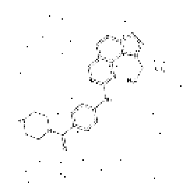 CC(C)n1nnc2ccc3cnc(Nc4ccc(C(=O)N5CCNCC5)cc4)nc3c21